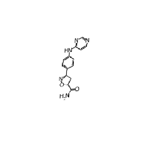 NC(=O)C1CC(c2ccc(Nc3ccncn3)cc2)=NO1